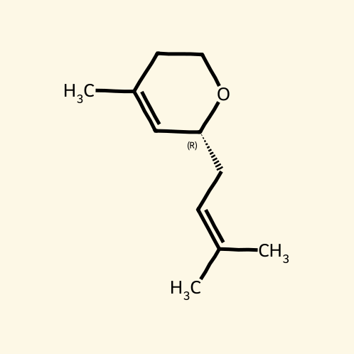 CC(C)=CC[C@@H]1C=C(C)CCO1